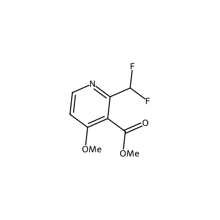 COC(=O)c1c(OC)ccnc1C(F)F